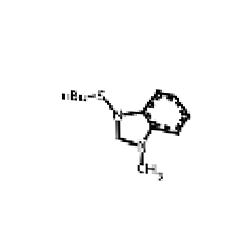 CCCCSN1CN(C)c2ccccc21